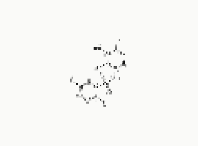 Cc1ccc(NS(=O)(=O)c2cc(F)ccc2F)c(F)c1C(C)(C)C